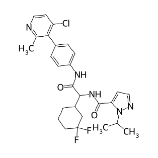 Cc1nccc(Cl)c1-c1ccc(NC(=O)C(NC(=O)c2ccnn2C(C)C)C2CCCC(F)(F)C2)cc1